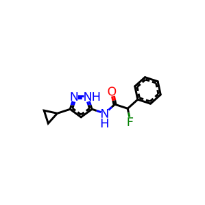 O=C(Nc1cc(C2CC2)n[nH]1)C(F)c1ccccc1